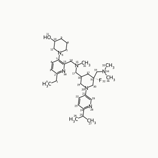 CCc1ccc(N2CCCC(O)C2)c(CN(C)CC2CN(c3ccc(C(C)C)nc3)C[C@](F)(CN(C)C)C2)n1